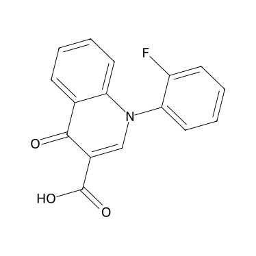 O=C(O)c1cn(-c2ccccc2F)c2ccccc2c1=O